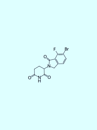 O=C1CCC(N2Cc3ccc(Br)c(F)c3C2=O)C(=O)N1